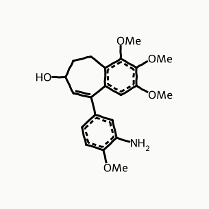 COc1ccc(C2=CC(O)CCc3c2cc(OC)c(OC)c3OC)cc1N